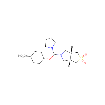 CCOC(=O)[C@H]1CC[C@H](OC(N2CCCC2)N2C[C@@H]3CS(=O)(=O)C[C@@H]3C2)CC1